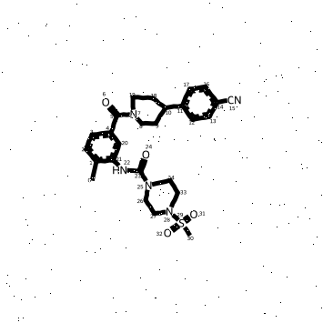 Cc1ccc(C(=O)N2CCC(c3ccc(C#N)cc3)CC2)cc1NC(=O)N1CCN(S(C)(=O)=O)CC1